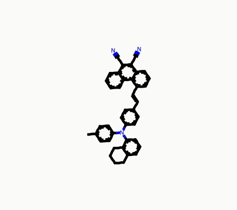 Cc1ccc(N(c2ccc(C=Cc3cccc4c(C#N)c(C#N)c5ccccc5c34)cc2)c2cccc3c2CCCC3)cc1